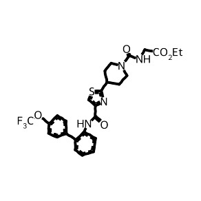 CCOC(=O)CNC(=O)N1CCC(c2nc(C(=O)Nc3ccccc3-c3ccc(OC(F)(F)F)cc3)cs2)CC1